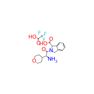 N[C@H](C(=O)N1Cc2ccccc2C1C(=O)O)C1CCOCC1.O=C(O)C(F)(F)F